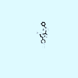 Cc1cccc(-c2noc(-c3cnn4c(C5CCNCC5)cc(=O)[nH]c34)n2)c1.Cl